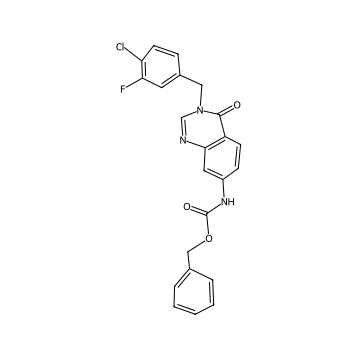 O=C(Nc1ccc2c(=O)n(Cc3ccc(Cl)c(F)c3)cnc2c1)OCc1ccccc1